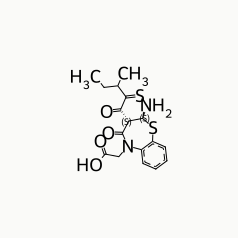 CCC(C)C(=S)C(=O)[C@H]1C(=O)N(CC(=O)O)c2ccccc2S[C@@H]1N